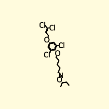 CCC(C)ON=CCCCCOc1c(Cl)cc(OCC=C(Cl)Cl)cc1Cl